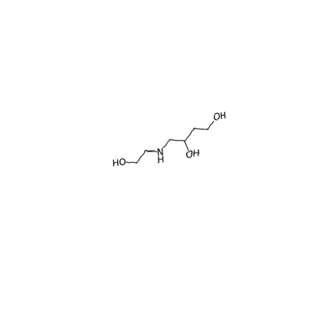 OCCNCC(O)CCO